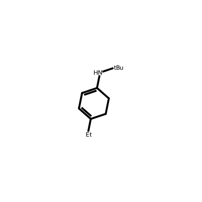 CCC1=CC=C(NC(C)(C)C)CC1